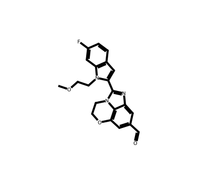 COCCn1c(-c2nc3cc(C=O)cc4c3n2CCO4)cc2ccc(F)cc21